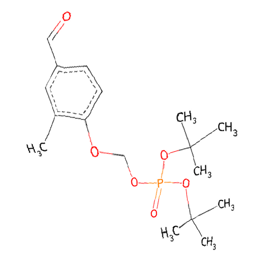 Cc1cc(C=O)ccc1OCOP(=O)(OC(C)(C)C)OC(C)(C)C